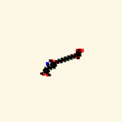 COc1ccc(C(C#N)=Cc2ccc(OCCCCCCCCCCCOC(=O)C(C)(CO)CO)c(OC)c2)cc1OC